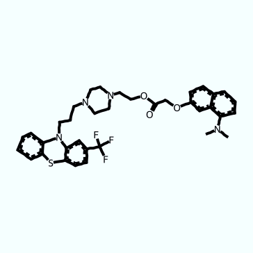 CN(C)c1cccc2ccc(OCC(=O)OCCN3CCN(CCCN4c5ccccc5Sc5ccc(C(F)(F)F)cc54)CC3)cc12